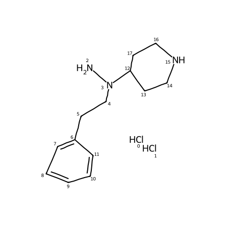 Cl.Cl.NN(CCc1ccccc1)C1CCNCC1